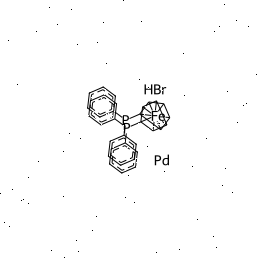 Br.[Pd].c1ccc(P(c2ccccc2)[C]23[CH]4[CH]5[CH]6[CH]2[Fe]56432789[CH]3[CH]2[CH]7[C]8(P(c2ccccc2)c2ccccc2)[CH]39)cc1